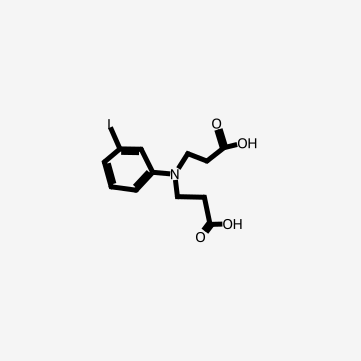 O=C(O)CCN(CCC(=O)O)c1cccc(I)c1